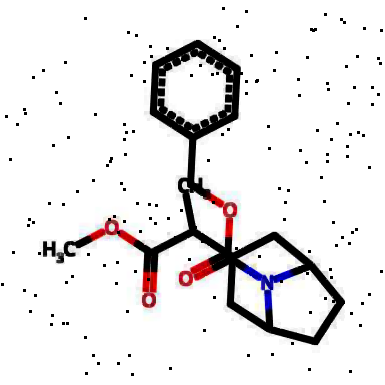 COC(=O)C(C)C1CC2CCC(C1)N2C(=O)OCc1ccccc1